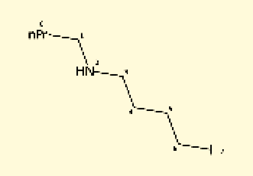 CCCCNCCCCI